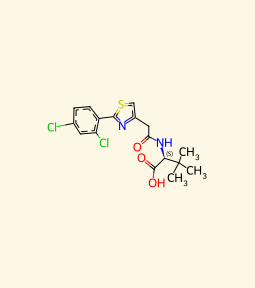 CC(C)(C)[C@H](NC(=O)Cc1csc(-c2ccc(Cl)cc2Cl)n1)C(=O)O